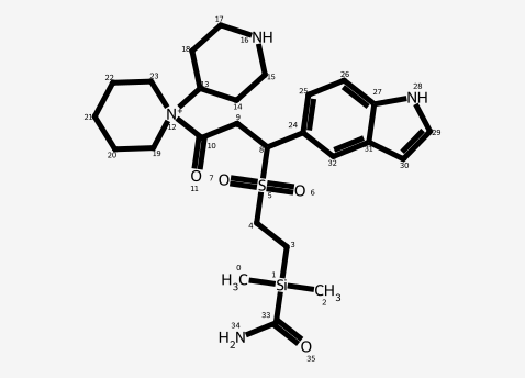 C[Si](C)(CCS(=O)(=O)C([CH]C(=O)[N+]1(C2CCNCC2)CCCCC1)c1ccc2[nH]ccc2c1)C(N)=O